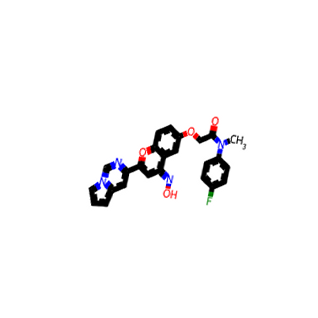 CN(C(=O)COc1ccc2oc(-c3cc4cccn4cn3)cc(=NO)c2c1)c1ccc(F)cc1